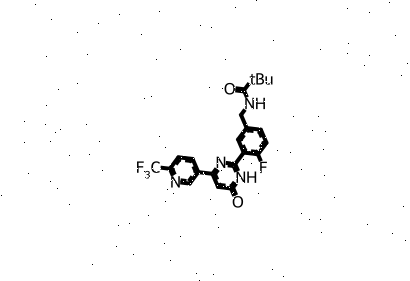 CC(C)(C)C(=O)NCc1ccc(F)c(-c2nc(-c3ccc(C(F)(F)F)nc3)cc(=O)[nH]2)c1